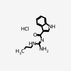 CCCNC(N)=NC(=O)c1c[nH]c2ccccc12.Cl